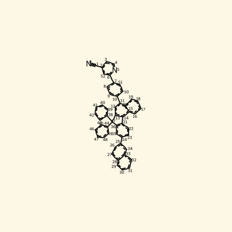 N#Cc1ccnc(-c2ccc(-c3cc4c(c5ccccc35)-c3ccc(-c5ccc6ccccc6c5)cc3C4(c3ccccc3)c3ccccc3)cc2)c1